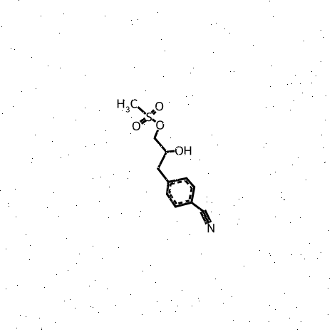 CS(=O)(=O)OCC(O)Cc1ccc(C#N)cc1